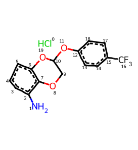 Cl.Nc1cccc2c1OCC(Oc1ccc(C(F)(F)F)cc1)O2